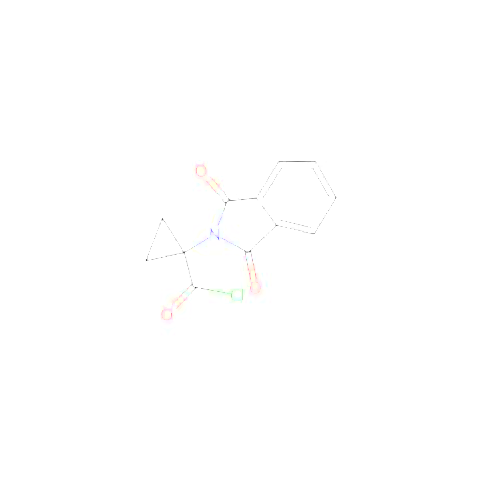 O=C1c2ccccc2C(=O)N1C1(C(=O)Cl)CC1